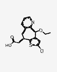 CCOC1=c2ncccc2=CC(=CC(=O)O)c2sc(Cl)cc21